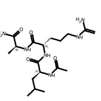 C=C(N)NCCC[C@H](NC(=O)[C@H](CC(C)C)NC(C)=O)C(=O)N[C@@H](C)C(N)=O